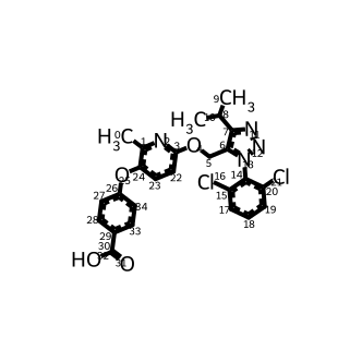 Cc1nc(OCc2c(C(C)C)nnn2-c2c(Cl)cccc2Cl)ccc1Oc1ccc(C(=O)O)cc1